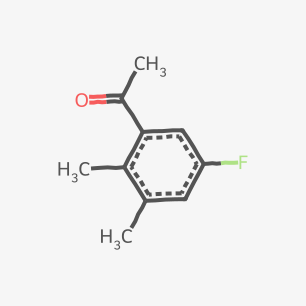 CC(=O)c1cc(F)cc(C)c1C